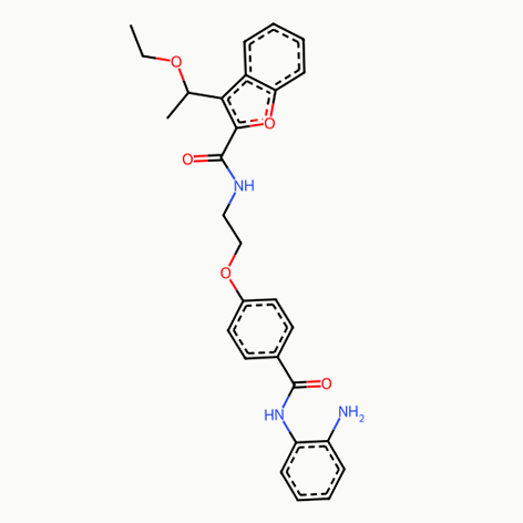 CCOC(C)c1c(C(=O)NCCOc2ccc(C(=O)Nc3ccccc3N)cc2)oc2ccccc12